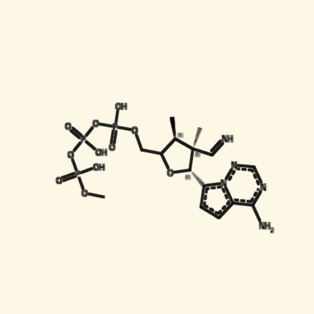 COP(=O)(O)OP(=O)(O)OP(=O)(O)OCC1O[C@@H](c2ccc3c(N)ncnn23)[C@](C)(C=N)[C@@H]1C